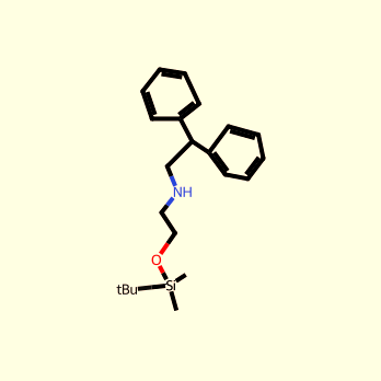 CC(C)(C)[Si](C)(C)OCCNCC(c1ccccc1)c1ccccc1